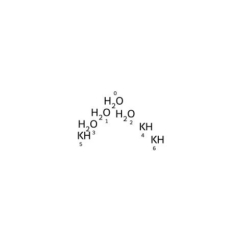 O.O.O.O.[KH].[KH].[KH]